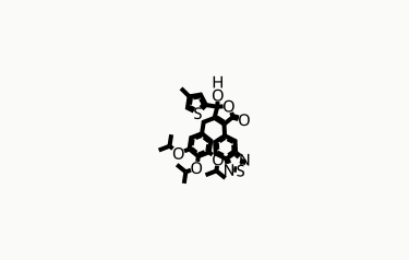 Cc1csc(C2(O)OC(=O)C(c3ccc4nsnc4c3)=C2Cc2cc(OC(C)C)c(OC(C)C)c(OC(C)C)c2)c1